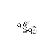 COc1cc([C@@H](O)[C@@H](CCCc2ccccc2)Cn2ccc(C(=O)O)n2)cc(OC)c1C